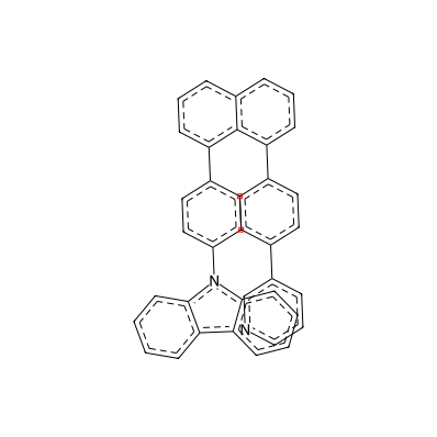 c1cncc(-c2ccc(-c3cccc4cccc(-c5ccc(-n6c7ccccc7c7ccccc76)cc5)c34)cc2)c1